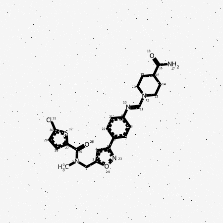 CN(Cc1cc(-c2ccc(/N=C/N3CCC(C(N)=O)CC3)cc2)no1)C(=O)c1ccc(Cl)s1